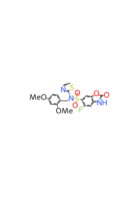 COc1ccc(CN(c2nccs2)S(=O)(=O)c2cc3oc(=O)[nH]c3cc2F)c(OC)c1